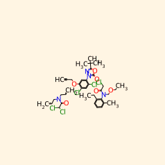 C#CCOc1cc(-n2nc(C(C)(C)C)oc2=O)c(Cl)cc1Cl.C=CCN(CC=C)C(=O)C(Cl)Cl.CCOCN(C(=O)CCl)c1c(C)cccc1CC